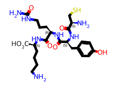 NCCCC[C@H](NC(=O)[C@@H](CCCNC(N)=O)NC(=O)[C@H](Cc1ccc(O)cc1)NC(=O)[C@H](N)CS)C(=O)O